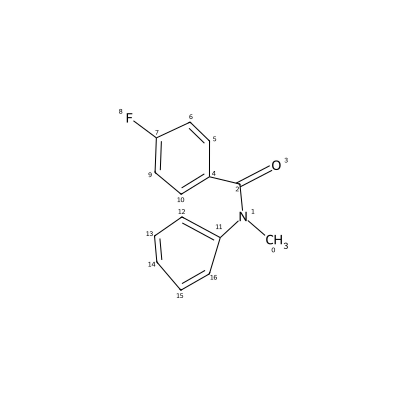 CN(C(=O)c1ccc(F)cc1)c1ccccc1